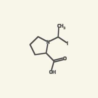 CC(I)N1CCCC1C(=O)O